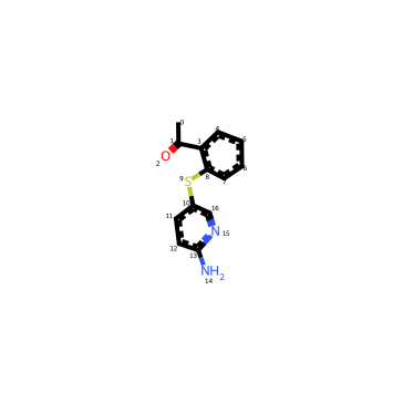 CC(=O)c1ccccc1Sc1ccc(N)nc1